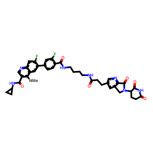 CNc1c(C(=O)NC2CC2)cnc2cc(F)c(-c3ccc(C(=O)NCCCCNC(=O)CCc4cnc5c(c4)CN(C4CCC(=O)NC4=O)C5=O)c(F)c3)cc12